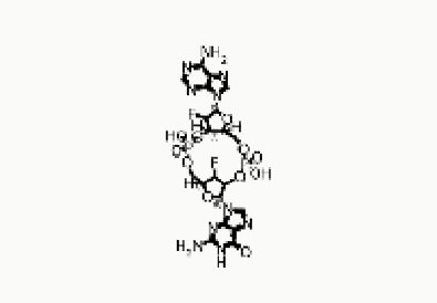 Nc1nc2c(ncn2[C@@H]2O[C@@H]3COP(=O)(O)O[C@@H]4C(F)[C@H](n5cnc6c(N)ncnc65)O[C@@H]4COP(=O)(O)OC2C3F)c(=O)[nH]1